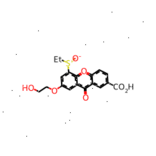 CC[S+]([O-])c1cc(OCCO)cc2c(=O)c3cc(C(=O)O)ccc3oc12